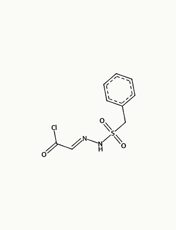 O=C(Cl)C=NNS(=O)(=O)Cc1ccccc1